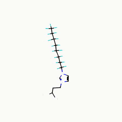 CC(C)CC[n+]1ccn(C(F)(F)C(F)(F)C(F)(F)C(F)(F)C(F)(F)C(F)(F)C(F)(F)C(F)(F)F)c1